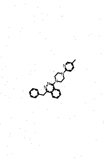 Cc1ccc(N2CCN(c3nnc(Cc4ccccc4)c4ccccc34)CC2)nc1